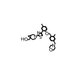 Cc1ccc(OCc2ccc(CN3CCOCC3)cc2C)c(-c2csc(N3CCC4(CO)CC4C3)n2)c1